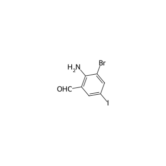 Nc1c(Br)cc(I)cc1C=O